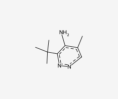 Cc1cnnc(C(C)(C)C)c1N